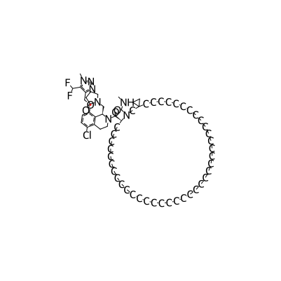 CNC(=O)N1CC2(CCCCCCCCCCCCCCCCCCCCCCCCCCCCCCCCCCCCCC[C@H]1C(=O)N1CCc3c(Cl)ccc(OCc4nnn(C)c4C(F)F)c3[C@H]1CN1CCCC1=O)CC2